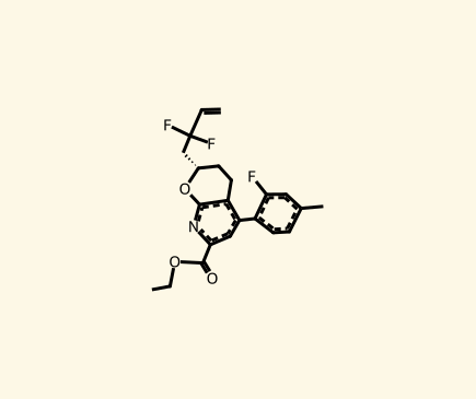 C=CC(F)(F)C[C@@H]1CCc2c(-c3ccc(C)cc3F)cc(C(=O)OCC)nc2O1